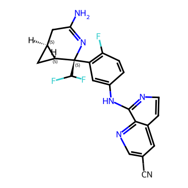 N#Cc1cnc2c(Nc3ccc(F)c([C@@]4(C(F)F)N=C(N)C[C@@H]5C[C@@H]54)c3)nccc2c1